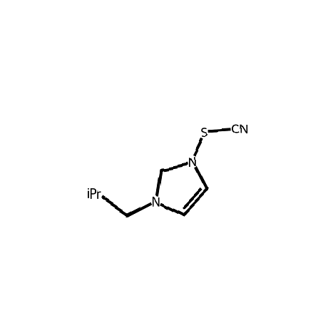 CC(C)CN1C=CN(SC#N)C1